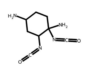 NC1CCC(N)(N=C=O)C(N=C=O)C1